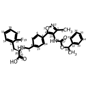 Cc1noc(-c2ccc(CN[C@H](Cc3ccccc3F)C(=O)O)cc2)c1NC(=O)OC(C)c1ccccc1